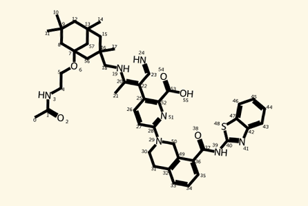 CC(=O)NCCOC12CC(C)(C)CC(C)(CC(C)(CN/C(C)=C(\C=N)c3ccc(N4CCc5cccc(C(=O)Nc6nc7ccccc7s6)c5C4)nc3C(=O)O)C1)C2